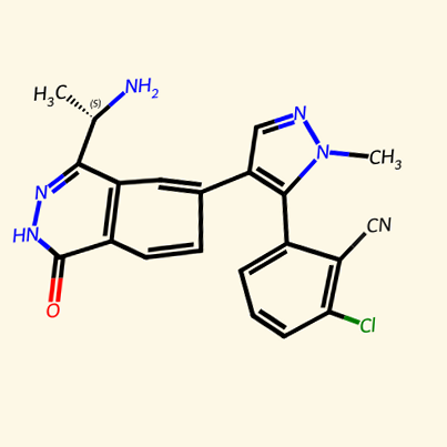 C[C@H](N)c1n[nH]c(=O)c2ccc(-c3cnn(C)c3-c3cccc(Cl)c3C#N)cc12